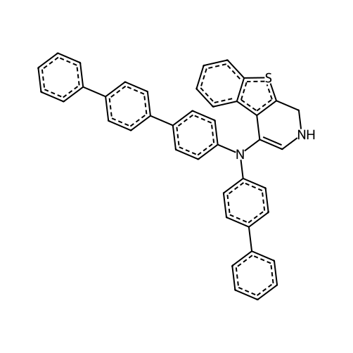 C1=C(N(c2ccc(-c3ccccc3)cc2)c2ccc(-c3ccc(-c4ccccc4)cc3)cc2)c2c(sc3ccccc23)CN1